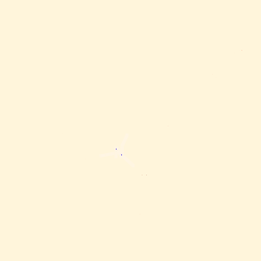 O=C1CCC2(CC1)CC(=O)N(c1ccccc1)C2